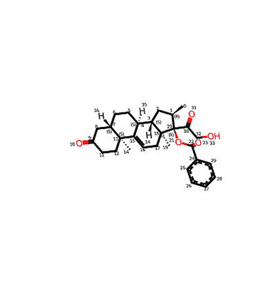 C[C@@H]1C[C@H]2[C@@H]3CC[C@H]4CC(=O)CC[C@]4(C)C3=CC[C@]2(C)[C@@]1(OC(=O)c1ccccc1)C(=O)CO